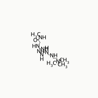 CNC(=O)CNC(=N)NC(=N)NCNCC[N+](C)(C)C